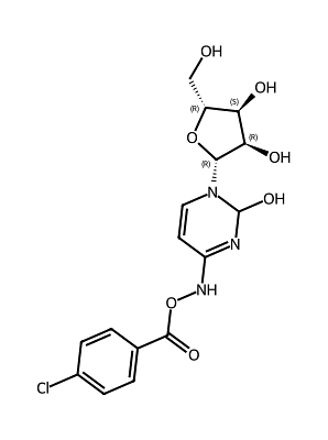 O=C(ONC1=NC(O)N([C@@H]2O[C@H](CO)[C@@H](O)[C@H]2O)C=C1)c1ccc(Cl)cc1